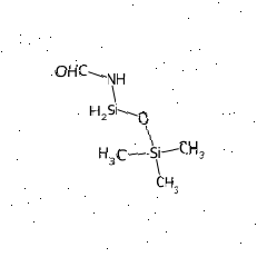 C[Si](C)(C)O[SiH2]NC=O